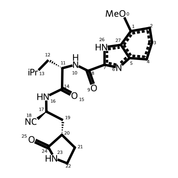 COc1cccc2nc(C(=O)N[C@@H](CC(C)C)C(=O)N[C@H](C#N)C[C@@H]3CCNC3=O)[nH]c12